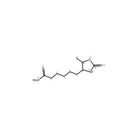 COC(=O)CCCCCC1NC(=O)OC1C